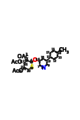 CC(=O)O[C@@H]1[C@@H](OC(C)=O)[C@@H](Oc2cncc(-c3ccc(C)cc3)c2)SC[C@H]1OC(C)=O